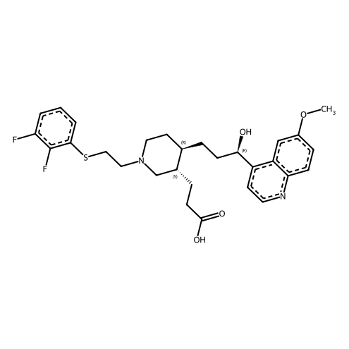 COc1ccc2nccc([C@H](O)CC[C@@H]3CCN(CCSc4cccc(F)c4F)C[C@H]3CCC(=O)O)c2c1